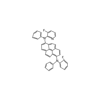 Fc1ccccc1N(c1ccccc1)c1ccc2ccc3c(N(c4ccccc4)c4ncccc4F)ccc4ccc1c2c43